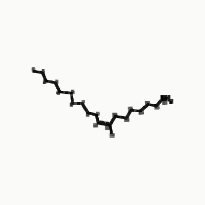 CCCCCCCCCCC=C(C)CCCCCCN